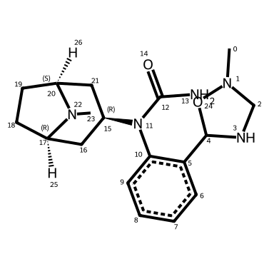 CN1CNC(c2ccccc2N(C(N)=O)[C@H]2C[C@H]3CC[C@@H](C2)N3C)O1